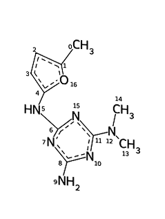 Cc1ccc(Nc2nc(N)nc(N(C)C)n2)o1